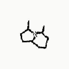 CC1CCCC2CCC(C)N12